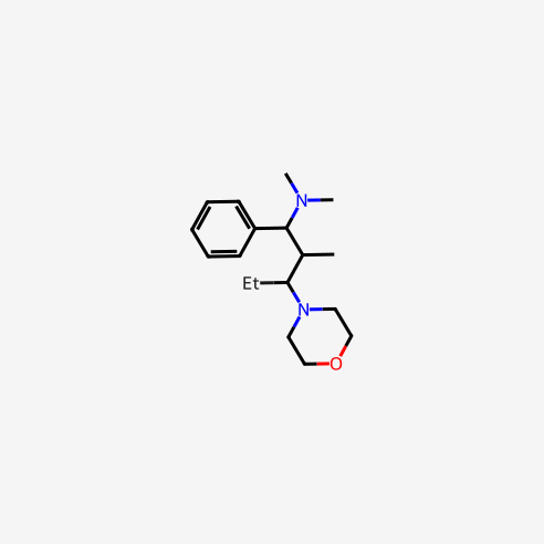 CCC(C(C)C(c1ccccc1)N(C)C)N1CCOCC1